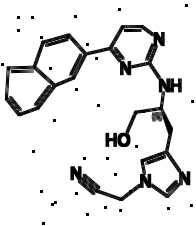 N#CCn1cnc(C[C@@H](CO)Nc2nccc(-c3ccc4ccccc4c3)n2)c1